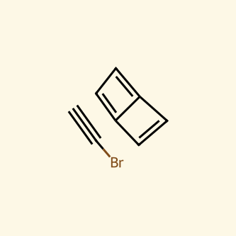 C#CBr.c1cc2ccc1-2